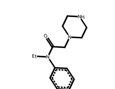 CCN(C(=O)CN1CCNCC1)c1ccccc1